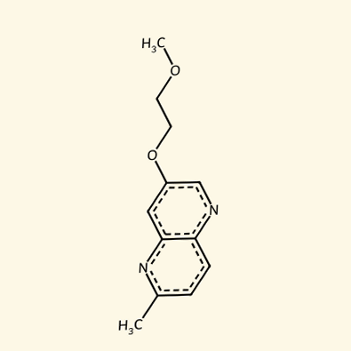 COCCOc1cnc2ccc(C)nc2c1